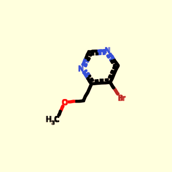 COCc1ncncc1Br